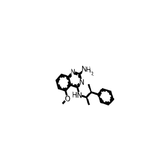 COc1cccc2nc(N)nc(NC(C)C(C)c3ccccc3)c12